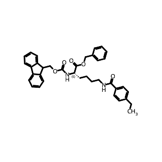 CCc1ccc(C(=O)NCCCC[C@H](NC(=O)OCC2c3ccccc3-c3ccccc32)C(=O)OCc2ccccc2)cc1